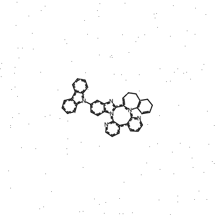 C1=CC2=C(CC1)CCC=c1c3nc4cc(-n5c6ccccc6c6ccccc65)ccc4n3c3ncccc3c3cccnc3n12